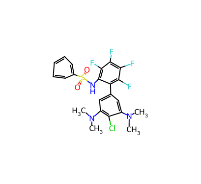 CN(C)c1cc(-c2c(F)c(F)c(F)c(F)c2NS(=O)(=O)c2ccccc2)cc(N(C)C)c1Cl